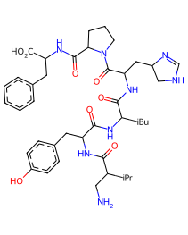 CCC(C)C(NC(=O)C(Cc1ccc(O)cc1)NC(=O)C(CN)C(C)C)C(=O)NC(CC1CNC=N1)C(=O)N1CCCC1C(=O)NC(Cc1ccccc1)C(=O)O